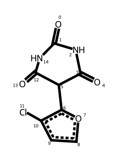 O=C1NC(=O)C(c2occc2Cl)C(=O)N1